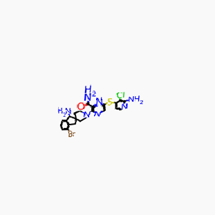 NC(=O)c1nc(Sc2ccnc(N)c2Cl)cnc1N1CCC2(CC1)Cc1c(Br)cccc1[C@H]2N